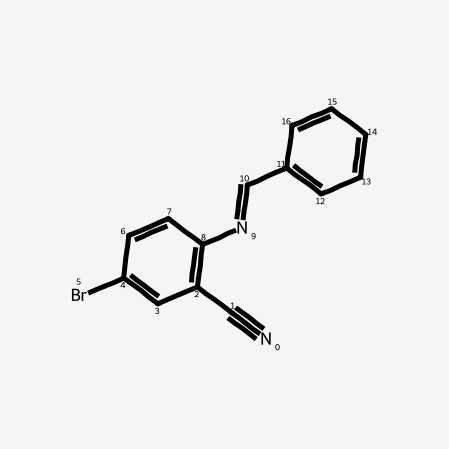 N#Cc1cc(Br)ccc1N=Cc1ccccc1